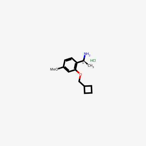 COc1ccc([C@H](C)N)c(OCC2CCC2)c1.Cl